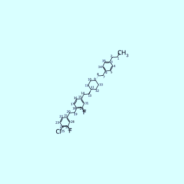 CCCc1ccc(CC[C@H]2CC[C@H](CCc3ccc(CCc4ccc(Cl)c(F)c4)c(F)c3)CC2)cc1